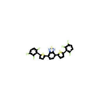 Fc1ccc(F)c(-c2ccc(-c3ccc(-c4ccc(-c5c(F)ccc(F)c5F)s4)c4nsnc34)s2)c1F